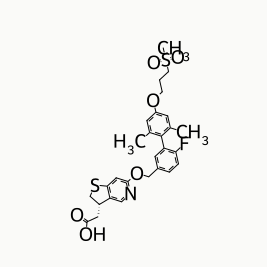 Cc1cc(OCCCS(C)(=O)=O)cc(C)c1-c1cc(COc2cc3c(cn2)[C@H](CC(=O)O)CS3)ccc1F